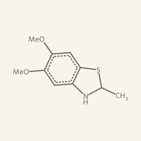 COc1cc2c(cc1OC)SC(C)N2